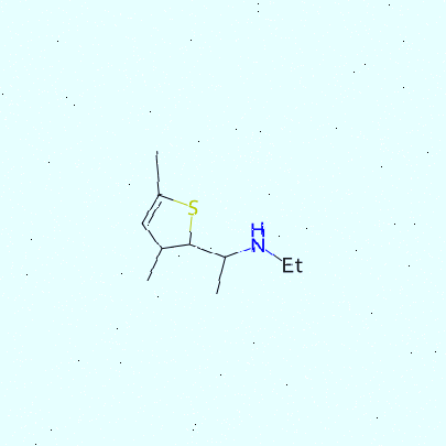 CCNC(C)C1SC(C)=CC1C